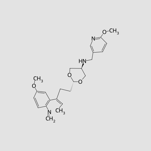 C=Nc1ccc(OC)cc1/C(=C\C)CC[C@H]1OC[C@H](NCc2ccc(OC)nc2)CO1